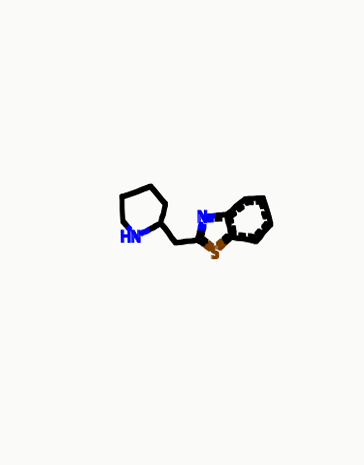 c1ccc2sc(CC3CCCCN3)nc2c1